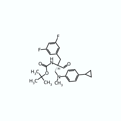 CN(C[C@@](C=O)(Cc1cc(F)cc(F)c1)NC(=O)OC(C)(C)C)c1ccc(C2CC2)cc1